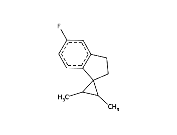 CC1C(C)C12CCc1cc(F)ccc12